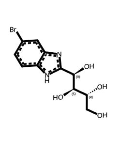 OC[C@@H](O)[C@@H](O)[C@H](O)c1nc2cc(Br)ccc2[nH]1